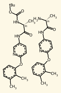 Cc1cccc(Oc2ccc(NC(=O)[C@@H](C)N)cn2)c1C.Cc1cccc(Oc2ccc(NC(=O)[C@@H](C)NC(=O)OC(C)(C)C)cn2)c1C